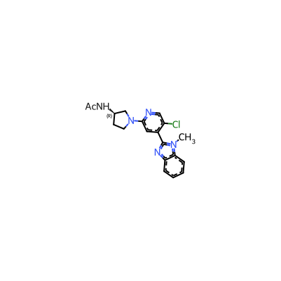 CC(=O)N[C@@H]1CCN(c2cc(-c3nc4ccccc4n3C)c(Cl)cn2)C1